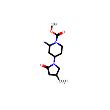 CC(C)(C)OC(=O)N1CCC(N2CC(C(=O)O)CC2=O)CC1I